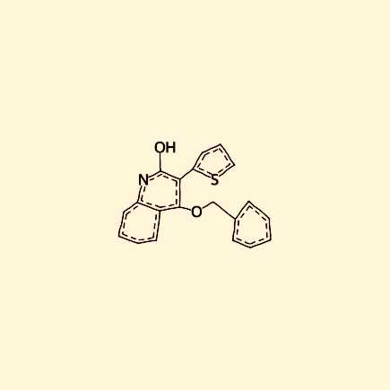 Oc1nc2ccccc2c(OCc2ccccc2)c1-c1cccs1